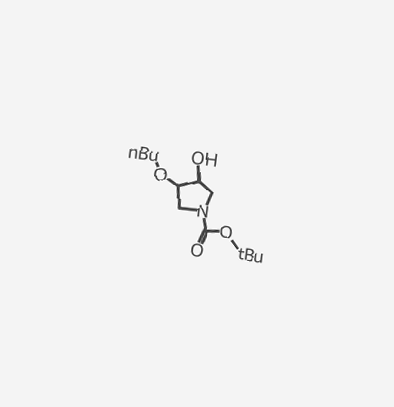 CCCCOC1CN(C(=O)OC(C)(C)C)CC1O